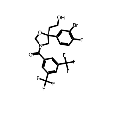 O=C(c1cc(C(F)(F)F)cc(C(F)(F)F)c1)N1CO[C@](CCO)(c2ccc(F)c(Br)c2)C1